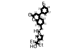 CCC(O)(CC)c1ccn(NCc2ccc3c(-c4cccc(F)c4)cc(=O)oc3c2)n1